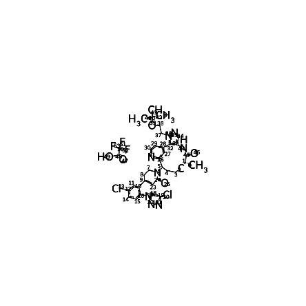 C[C@@H]1CCC[C@H](N2CCC(c3cc(Cl)ccc3-n3cc(Cl)nn3)=CC2=O)c2cc(ccn2)-c2c(cnn2CCOC(C)(C)C)NC1=O.O=C(O)C(F)(F)F